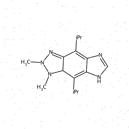 CC(C)C1=c2nc[nH]c2=C(C(C)C)C2C1=NN(C)N2C